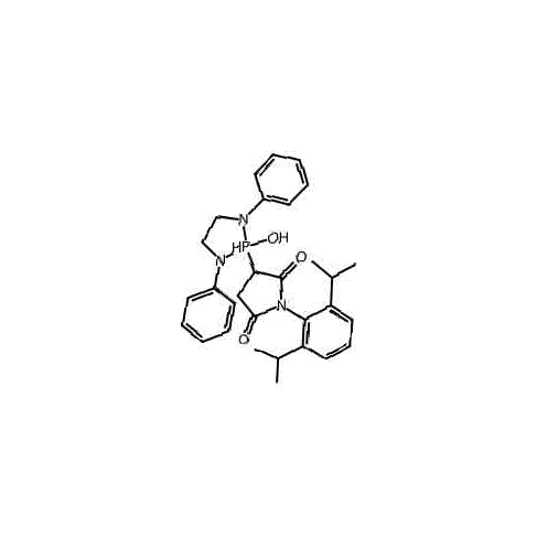 CC(C)c1cccc(C(C)C)c1N1C(=O)CC([PH]2(O)N(c3ccccc3)CCN2c2ccccc2)C1=O